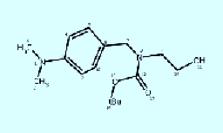 CN(C)c1ccc(CN(CCO)C(=O)OC(C)(C)C)cc1